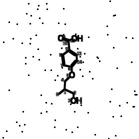 CC(CO)COc1ccc(C(=O)O)cc1